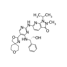 CC(C)n1c2nc(Nc3ncc(C4=NC5(CCOCC5)CO4)c(N[C@H](CO)c4ccccc4)n3)ccc2c(=O)n1C